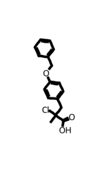 CC(Cl)(Cc1ccc(OCc2ccccc2)cc1)C(=O)O